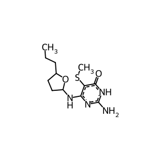 CCCC1CCC(Nc2nc(N)[nH]c(=O)c2SC)O1